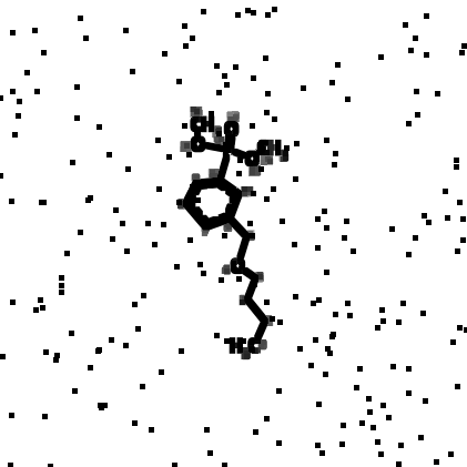 CCCCOCc1cccc(P(=O)(OC)OC)c1